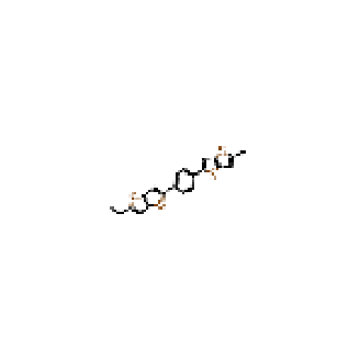 CCc1cc2sc(-c3ccc(-c4cc5sc(C)cc5s4)cc3)cc2s1